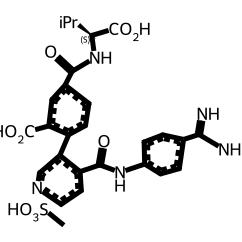 CC(C)[C@H](NC(=O)c1ccc(-c2cnccc2C(=O)Nc2ccc(C(=N)N)cc2)c(C(=O)O)c1)C(=O)O.CS(=O)(=O)O